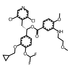 COCCNc1cc(C(=O)O[C@@H](Cc2c(Cl)cncc2Cl)c2ccc(OC(F)F)c(OCC3CC3)c2)ccc1OC